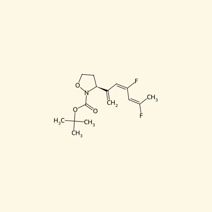 C=C(/C=C(F)\C=C(/C)F)[C@@H]1CCON1C(=O)OC(C)(C)C